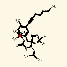 CCCCCC#Cc1cc(C[C@]2([C@H](CC(C)C)NC(=O)OC(C)(C)C)OC(C)(C)OC2=O)ncc1C